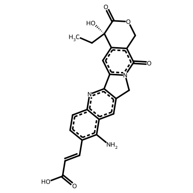 CC[C@@]1(O)C(=O)OCc2c1cc1n(c2=O)Cc2cc3c(N)c(C=CC(=O)O)ccc3nc2-1